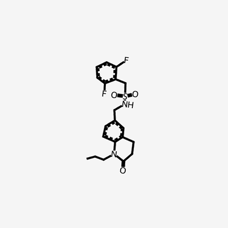 CCCN1C(=O)CCc2cc(CNS(=O)(=O)Cc3c(F)cccc3F)ccc21